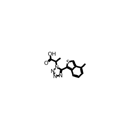 Cc1cccc2c(-c3nnnn3C(C)C(=O)O)scc12